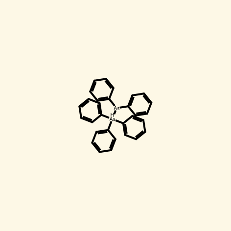 c1ccc([As](c2ccccc2)[AsH](c2ccccc2)(c2ccccc2)c2ccccc2)cc1